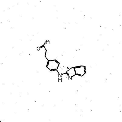 CC(C)C(=O)CCc1ccc(Nc2nc3ccccc3s2)cc1